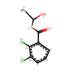 CC(C)C(O)SC(=O)c1cccc(Cl)c1Cl